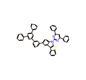 c1ccc(-c2cc(-c3ccccc3)cc(-c3cccc(-c4ccc5c(c4)c4c6ccccc6sc4n5-c4nc(-c5ccccc5)cc(-c5ccccc5)n4)c3)c2)cc1